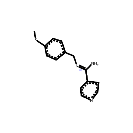 CSc1ccc(C/N=C(\N)c2ccncc2)cc1